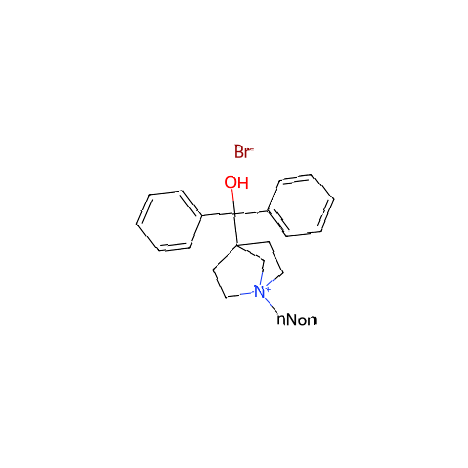 CCCCCCCCC[N+]12CCC(C(O)(c3ccccc3)c3ccccc3)(CC1)C2.[Br-]